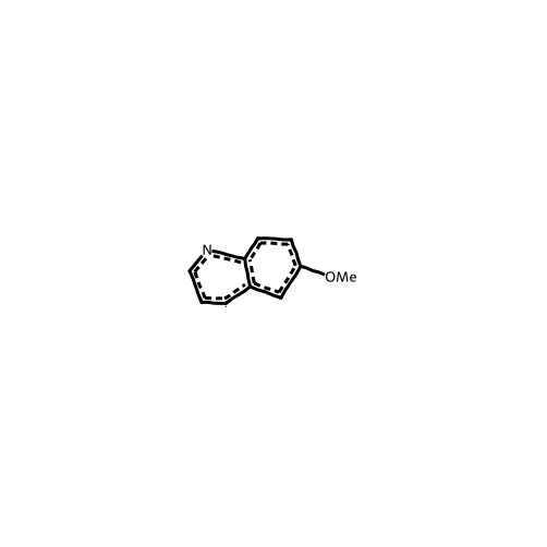 COc1ccc2ncc[c]c2c1